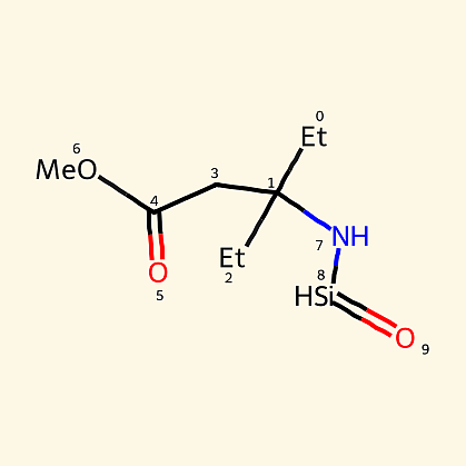 CCC(CC)(CC(=O)OC)N[SiH]=O